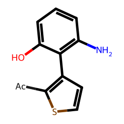 CC(=O)c1sccc1-c1c(N)cccc1O